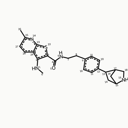 CNc1c(C(=O)NCCc2ccc(C3CC4CC3CN4)cc2)sc2nc(C)ccc12